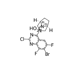 O=C(O)N1[C@@H]2CC[C@H]1CN(c1nc(Cl)nc3c(F)c(Br)c(F)cc13)C2